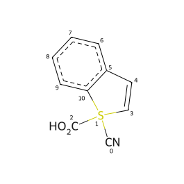 N#CS1(C(=O)O)C=Cc2ccccc21